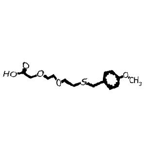 COc1ccc(CSCCOCCOCC(=O)O)cc1